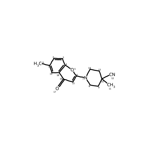 Cc1ccc2oc(N3CCC(C)(C#N)CC3)cc(=O)c2c1